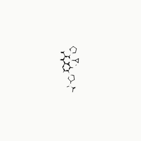 COc1c(N2CCC(N(C)C(C)=O)C2)c(F)cc2c(=O)c(C(=O)O)c(N3CCCC3)n(C3CC3)c12